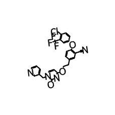 N#Cc1cc(CCOc2ccn(Cc3cccnc3)c(=O)n2)ccc1Oc1ccc(Cl)c(C(F)(F)F)c1